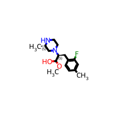 COC(O)[C@H](Cc1ccc(C)cc1F)N1CCN[C@@H](C)C1